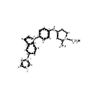 CC(C)(C)C1CC(Oc2ccc(-n3ccc4cc(-n5cnnn5)ccc43)nc2)CCN1C(=O)O